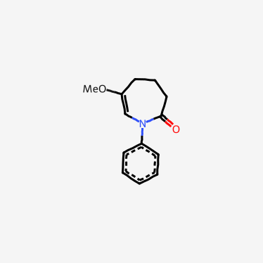 COC1=CN(c2ccccc2)C(=O)CCC1